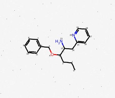 CCCC(OCc1ccccc1)C(N)Cc1ccccn1